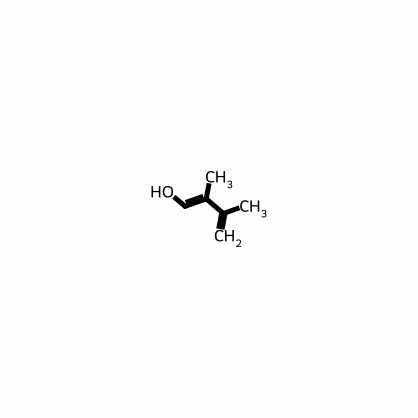 C=C(C)C(C)=CO